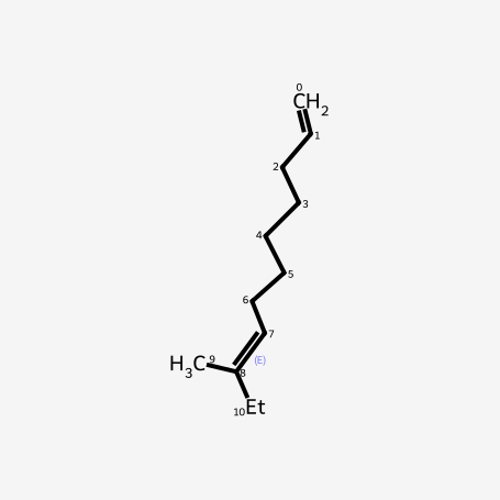 C=CCCCCC/C=C(\C)CC